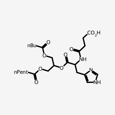 CCCCCC(=O)OCC(COC(=O)CCCC)OC(=O)C(Cc1c[nH]cn1)NC(=O)CCC(=O)O